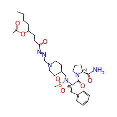 CCCCC(CCC(=O)N=NCN1CCC(CN([C@H](Cc2ccccc2)C(=O)N2CCC[C@H]2C(N)=O)S(C)(=O)=O)CC1)OC(C)=O